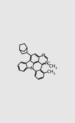 Cc1cccc2c1c1c3c(cc(C4CC5CCC4C5)c4c5ccccc5n2c43)nc[n+]1C